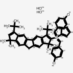 CC(C)(C)C1=CC(C)(C)c2cc3c(cc21)-c1cc2c(cc1C3)C(C)(C)[C]([Zr](=[CH]c1ccc(Cl)cc1)(=[CH]c1ccc(Cl)cc1)[C]1=CC=CC1)=C2C(C)(C)C.Cl.Cl